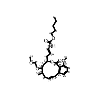 CCCCCOC(=O)N/C=C/CC1CC(OCOC)C(C)C/C=C/Cc2cccc(OC)c2C(=O)O1